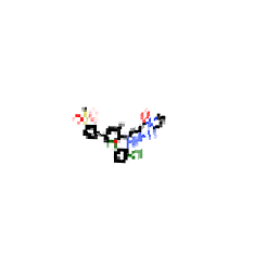 Cc1cc(-c2cccc(S(C)(=O)=O)c2)ccc1/C(=C/C(=N)C(=O)N1CCCC1)Nc1c(Cl)cccc1Cl